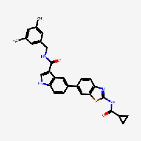 Cc1cc(CNC(=O)c2c[nH]c3ccc(-c4ccc5nc(NC(=O)C6CC6)sc5c4)cc23)cc(C(F)(F)F)c1